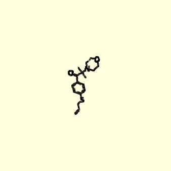 C=CCSc1ccc(C(=O)C(C)(C)N2CCOCC2)cc1